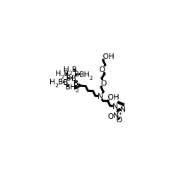 BB(B)B(B)B(B(B)B)B1CC1CCCCN(CCOCCOCCO)CC(O)Cn1ccnc1[N+](=O)[O-]